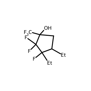 CCC1CC(O)(C(F)(F)F)C(F)(F)C1(F)CC